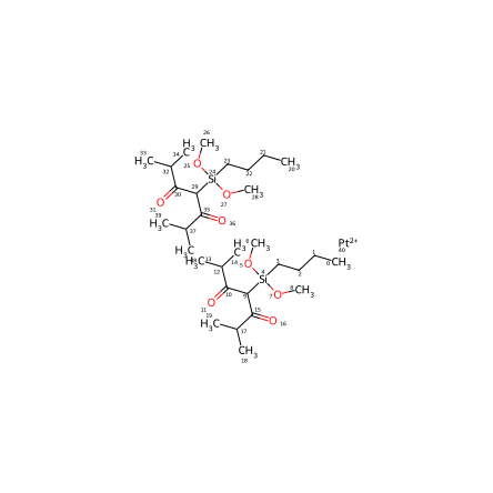 CCCC[Si](OC)(OC)C(C(=O)C(C)C)C(=O)C(C)C.CCCC[Si](OC)(OC)C(C(=O)C(C)C)C(=O)C(C)C.[Pt+2]